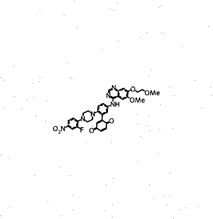 COCCOc1cc2ncnc(Nc3ccc(N4CCN(c5ccc([N+](=O)[O-])cc5F)CC4)c(C4=CC(=O)C=CC4=O)c3)c2cc1OC